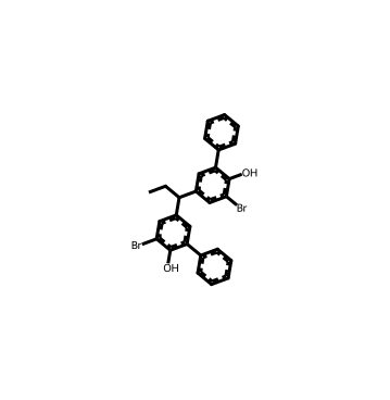 CCC(c1cc(Br)c(O)c(-c2ccccc2)c1)c1cc(Br)c(O)c(-c2ccccc2)c1